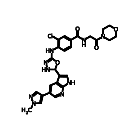 Cn1cc(-c2cnc3[nH]cc(C4NN=C(Nc5ccc(C(=O)NCC(=O)N6CCOCC6)cc5Cl)O4)c3c2)cn1